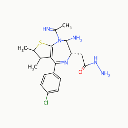 CC(=N)N1C2=C(C(c3ccc(Cl)cc3)=N[C@@H](CC(=O)NN)C1N)C(C)C(C)S2